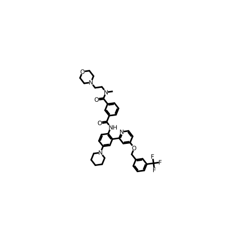 CN(CCN1CCOCC1)C(=O)c1cccc(C(=O)Nc2ccc(N3CCCCC3)cc2-c2cc(OCc3cccc(C(F)(F)F)c3)ccn2)c1